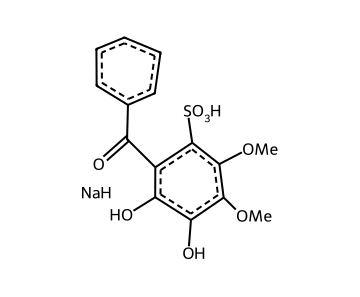 COc1c(O)c(O)c(C(=O)c2ccccc2)c(S(=O)(=O)O)c1OC.[NaH]